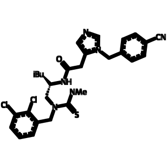 CC[C@H](C)[C@@H](CN(Cc1cccc(Cl)c1Cl)C(=S)NC)NC(=O)Cc1cncn1Cc1ccc(C#N)cc1